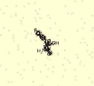 Nc1nc2c(c3nc(-c4ccco4)nn13)n(CCO)c(=O)n2CCN1CCN(c2ccc(F)cc2)CC1